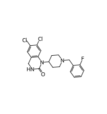 O=C1NCc2cc(Cl)c(Cl)cc2N1C1CCN(Cc2ccccc2F)CC1